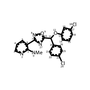 CNc1ncccc1-c1noc(C(Oc2cccc(Cl)c2)c2ccc(Cl)cc2)n1